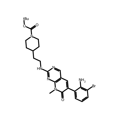 Cn1c(=O)c(-c2cccc(Br)c2N)cc2cnc(NCCC3CCN(C(=O)OC(C)(C)C)CC3)nc21